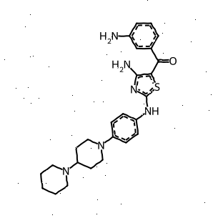 Nc1cccc(C(=O)c2sc(Nc3ccc(N4CCC(N5CCCCC5)CC4)cc3)nc2N)c1